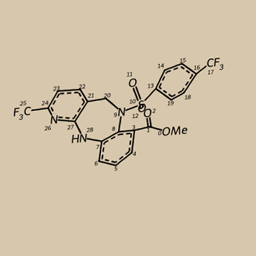 COC(=O)c1cccc2c1N(S(=O)(=O)c1ccc(C(F)(F)F)cc1)Cc1ccc(C(F)(F)F)nc1N2